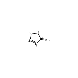 S=C1CSN=N1